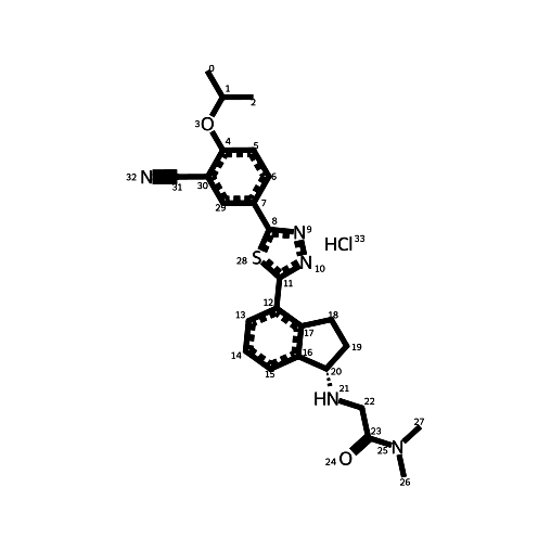 CC(C)Oc1ccc(-c2nnc(-c3cccc4c3CC[C@@H]4NCC(=O)N(C)C)s2)cc1C#N.Cl